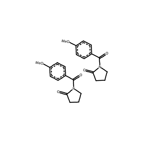 COc1ccc(C(=O)N2CCCC2=O)cc1.COc1ccc(C(=O)N2CCCC2=O)cc1